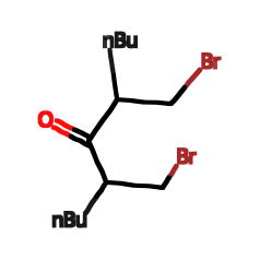 CCCCC(CBr)C(=O)C(CBr)CCCC